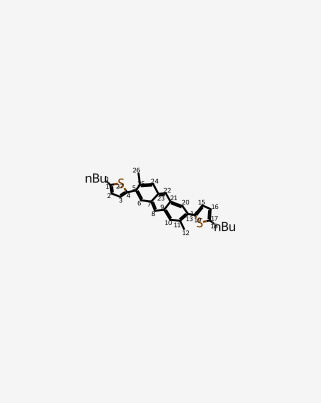 CCCCc1ccc(-c2cc3cc4cc(C)c(-c5ccc(CCCC)s5)cc4cc3cc2C)s1